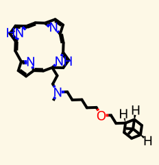 CN(CCCCCOCC[C@@H]1CC[C@H]2C[C@@H]1C2(C)C)CCC12C=C3C=CC(=N3)C=c3ccc([nH]3)=CC3=NC(=CC(=CC1)N2)C=C3